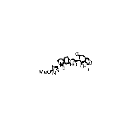 COc1nsc(N2CCC3(CCN(C[C@H](O)C4C(=O)CC5=COCC5=C4C)CC3)C2=O)n1